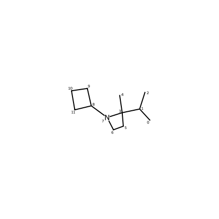 CC(C)C1(C)CCN1C1CCC1